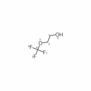 OCCOC(F)(F)F